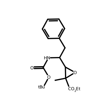 CCOC(=O)C1(C)OC1C(Cc1ccccc1)NC(=O)OC(C)(C)C